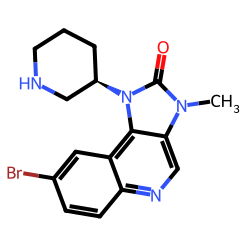 Cn1c(=O)n([C@@H]2CCCNC2)c2c3cc(Br)ccc3ncc21